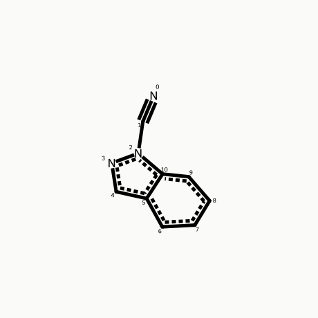 N#Cn1ncc2ccccc21